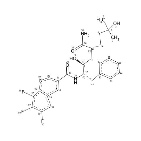 CC(C)(O)CC[C@H](C[C@H](O)[C@H](Cc1ccccc1)NC(=O)c1cnc2c(F)c(F)c(F)cc2c1)C(N)=O